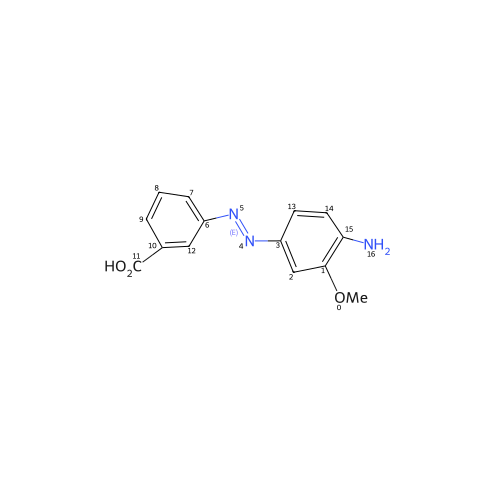 COc1cc(/N=N/c2cccc(C(=O)O)c2)ccc1N